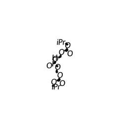 CC(C)OC(=O)OCO[PH](=O)OCOC(=O)OC(C)C